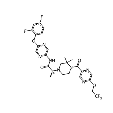 C[C@@H](C(=O)Nc1cnc(Oc2ccc(F)cc2F)cn1)N1CCN(C(=O)c2cnc(OCC(F)(F)F)cn2)C(C)(C)C1